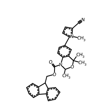 CC1OC(C)(C)c2cc(-c3ccc(C#N)n3C)ccc2N1C(=O)OCC1c2ccccc2-c2ccccc21